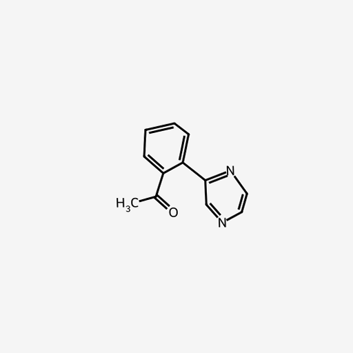 CC(=O)c1ccccc1-c1cnccn1